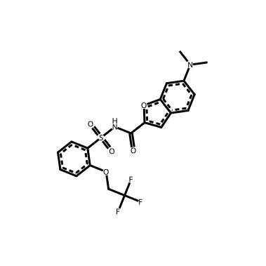 CN(C)c1ccc2cc(C(=O)NS(=O)(=O)c3ccccc3OCC(F)(F)F)oc2c1